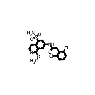 COc1nccc2c(S(N)(=O)=O)cc(NC(=O)Cc3c(Cl)cccc3Cl)cc12